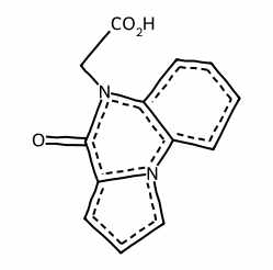 O=C(O)Cn1c(=O)c2cccn2c2ccccc21